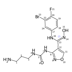 NCCCNC(=O)Nc1nocc1/C(=N/O)Nc1ccc(F)c(Br)c1